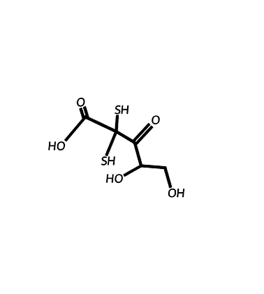 O=C(O)C(S)(S)C(=O)C(O)CO